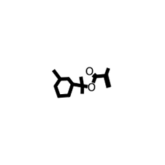 C=C(C)C(=O)OC(C)(C)C1CCCC(C)C1